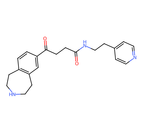 O=C(CCC(=O)c1ccc2c(c1)CCNCC2)NCCc1ccncc1